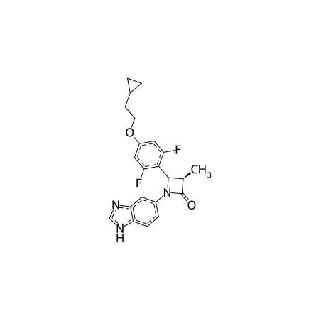 C[C@H]1C(=O)N(c2ccc3[nH]cnc3c2)C1c1c(F)cc(OCCC2CC2)cc1F